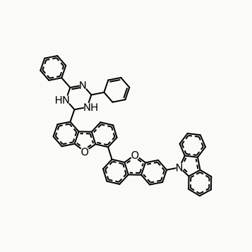 C1=CCC(C2N=C(c3ccccc3)NC(c3cccc4oc5c(-c6cccc7c6oc6cc(-n8c9ccccc9c9ccccc98)ccc67)cccc5c34)N2)C=C1